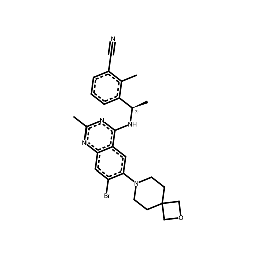 Cc1nc(N[C@H](C)c2cccc(C#N)c2C)c2cc(N3CCC4(CC3)COC4)c(Br)cc2n1